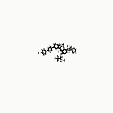 O=C(O)C(F)(F)F.O=C(c1c(F)ccc(NS(=O)(=O)N2CCCC2)c1F)c1c[nH]c2ncc(-c3ccc(N4CCNCC4)nc3)cc12